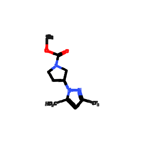 CC(C)(C)OC(=O)N1CCC(n2nc(C(F)(F)F)cc2C(=O)O)C1